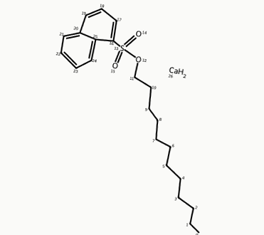 CCCCCCCCCCCCOS(=O)(=O)c1cccc2ccccc12.[CaH2]